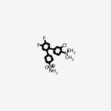 CN(C)c1ccc(-c2cc(F)c(F)cc2-c2ccc(S(N)(=O)=O)cc2)cc1Cl